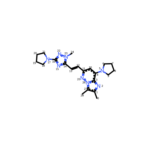 Cc1nc2c(N3CCCC3)cc(/C=C/c3nc(N4CCCC4)nn3C)nn2c1C